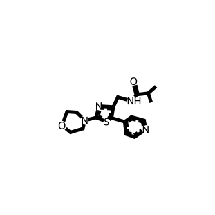 CC(C)C(=O)NCc1nc(N2CCOCC2)sc1-c1ccncc1